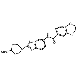 COC1CCN(c2nc3cc(NC(=O)c4ccc5c(c4)OCCO5)ccc3o2)CC1